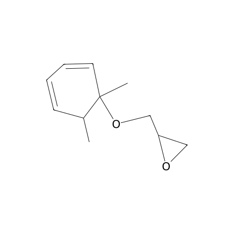 CC1C=CC=CC1(C)OCC1CO1